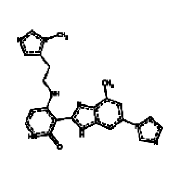 Cc1cc(-n2ccnc2)cc2[nH]c(-c3c(NCCc4cncn4C)cc[nH]c3=O)nc12